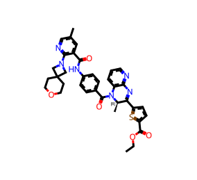 CCOC(=O)c1ccc(C2=Nc3ncccc3N(C(=O)c3ccc(NC(=O)c4cc(C)cnc4N4CC5(CCOCC5)C4)cc3)[C@@H]2C)s1